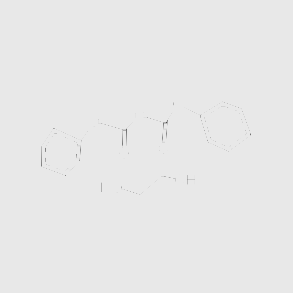 O=C(OC(=O)Oc1ccccc1)Oc1ccccc1.OCCO